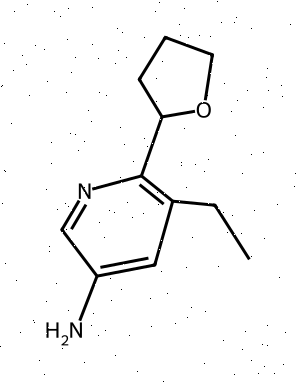 CCc1cc(N)cnc1C1CCCO1